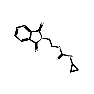 O=C(NC1CC1)OCCN1C(=O)c2ccccc2C1=O